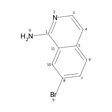 Nc1nccc2ccc(Br)cc12